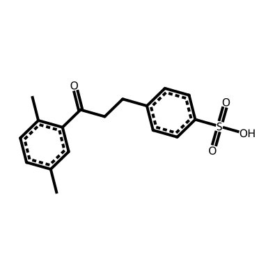 Cc1ccc(C)c(C(=O)CCc2ccc(S(=O)(=O)O)cc2)c1